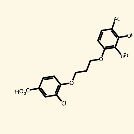 CCCc1c(OCCCOc2ccc(C(=O)O)cc2Cl)ccc(C(C)=O)c1O